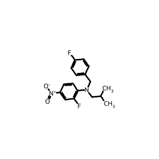 CC(C)CN(Cc1ccc(F)cc1)c1ccc([N+](=O)[O-])cc1F